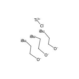 CCC(C)CC[O-].CCC(C)CC[O-].CCC(C)CC[O-].[Cl][Ti+3]